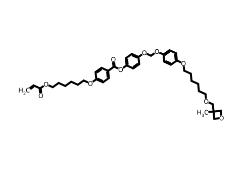 C=CC(=O)OCCCCCCOc1ccc(C(=O)Oc2ccc(OCOc3ccc(OCCCCCCOCC4(C)COC4)cc3)cc2)cc1